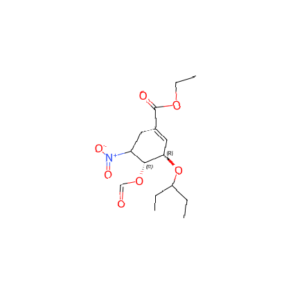 CCOC(=O)C1=C[C@@H](OC(CC)CC)[C@H](OC=O)C([N+](=O)[O-])C1